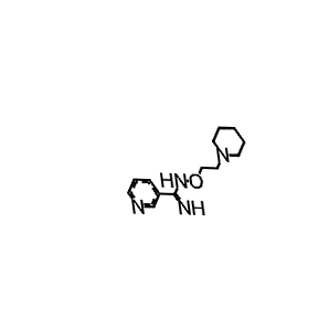 N=C(NOCCN1CCCCC1)c1cccnc1